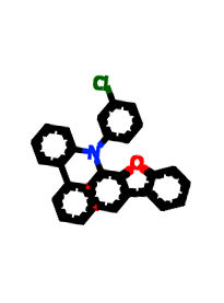 Clc1cccc(N(c2ccccc2-c2ccccc2)c2cccc3c2oc2ccccc23)c1